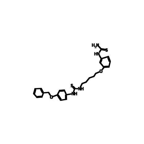 NC(=S)Nc1cccc(OCCCCCNC(=S)Nc2ccc(OCc3ccccc3)cc2)c1